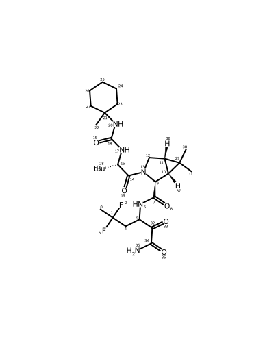 CC(F)(F)CC(NC(=O)[C@@H]1[C@@H]2[C@H](CN1C(=O)[C@@H](NC(=O)NC1(C)CCCCC1)C(C)(C)C)C2(C)C)C(=O)C(N)=O